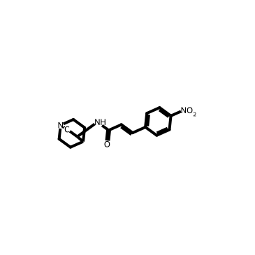 O=C(C=Cc1ccc([N+](=O)[O-])cc1)NC1CN2CCC1CC2